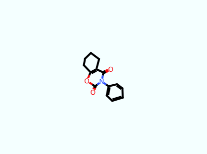 O=c1oc2c(c(=O)n1-c1ccccc1)CCCC2